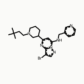 CC(C)(C)CCN1CCCC(c2cc(NCc3cccnc3)n3ncc(Br)c3n2)C1